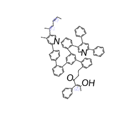 C/C=C\C=C(/C)c1cnc(-c2ccc(-c3ccccc3-c3cc(-c4ccccc4CCC(=O)/C(=C(/C)O)c4ccccc4)cc(-c4ccccc4-c4cnc(-c5ccccc5)cc4-c4ccccc4)c3)cc2)cc1C